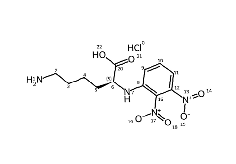 Cl.NCCCC[C@H](Nc1cccc([N+](=O)[O-])c1[N+](=O)[O-])C(=O)O